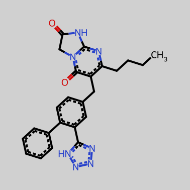 CCCCc1nc2n(c(=O)c1Cc1ccc(-c3ccccc3)c(-c3nnn[nH]3)c1)CC(=O)N2